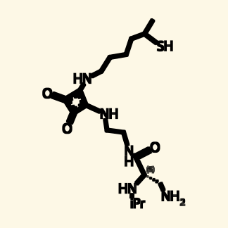 CC(S)CCCCNc1c(NCCNC(=O)[C@H](CN)NC(C)C)c(=O)c1=O